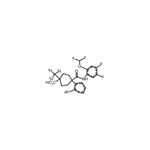 [2H]C([2H])([2H])C1(C(=O)O)CCC(C(=O)Nc2cc(F)c(F)cc2OC(F)F)(c2ccccc2C(C)C)CC1